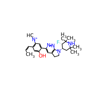 C#[N+]c1cc(-c2cc3c(nn2)N([C@H]2CC(C)(C)NC(C)(C)[C@H]2F)CC3)c(O)cc1/C=C\C